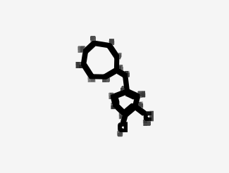 Clc1ccc(CC2CCCCCCC2)cc1Cl